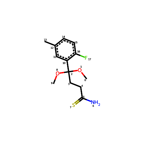 COC(CCC(N)=S)(OC)c1cc(C)ccc1F